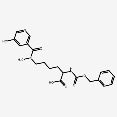 CN(CCCCC(NC(=O)OCc1ccccc1)C(=O)O)C(=O)c1cncc(O)c1